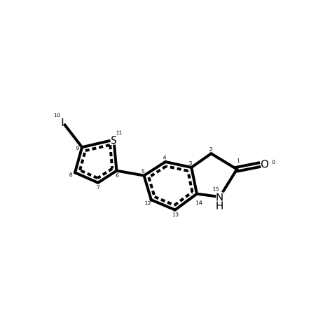 O=C1Cc2cc(-c3ccc(I)s3)ccc2N1